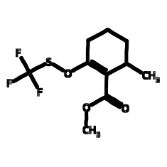 COC(=O)C1=C(OSC(F)(F)F)CCCC1C